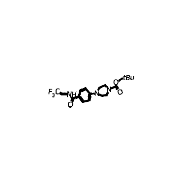 CC(C)(C)OC(=O)N1CCN(c2ccc(C(=O)NCC(F)(F)F)cc2)CC1